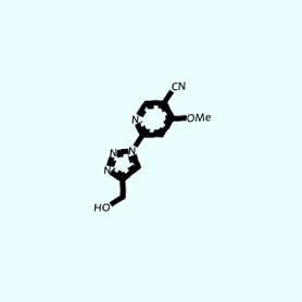 COc1cc(-n2cc(CO)nn2)ncc1C#N